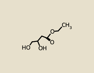 CCOC(=O)CC(O)CO